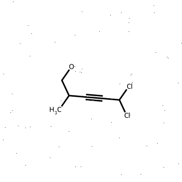 CC(C#CC(Cl)Cl)C[O]